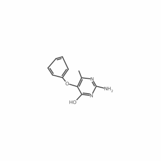 Cc1nc(N)nc(O)c1Oc1ccccc1